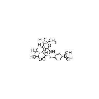 CC(NC(=O)[C@H](Cc1ccc(B(O)O)cc1)NC(=O)OC(C)(C)C)C(=O)O